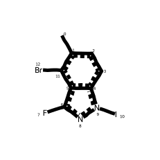 Cc1ccc2c(c(F)nn2I)c1Br